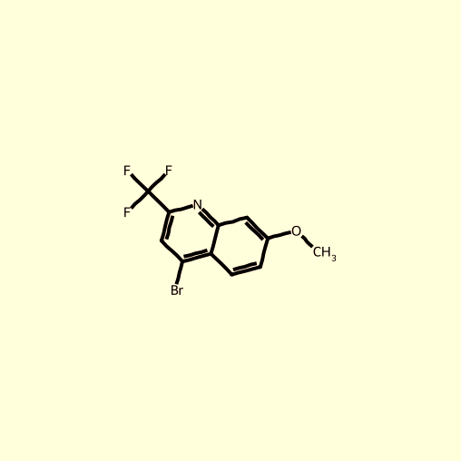 COc1ccc2c(Br)cc(C(F)(F)F)nc2c1